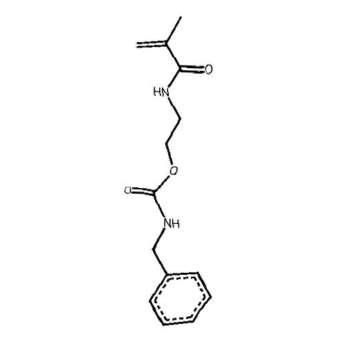 C=C(C)C(=O)NCCOC(=O)NCc1ccccc1